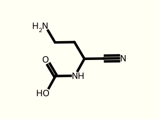 N#CC(CCN)NC(=O)O